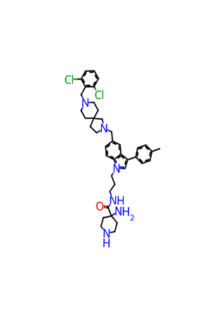 Cc1ccc(-c2cn(CCCNC(=O)C3(N)CCNCC3)c3ccc(CN4CCC5(CCN(Cc6c(Cl)cccc6Cl)CC5)C4)cc23)cc1